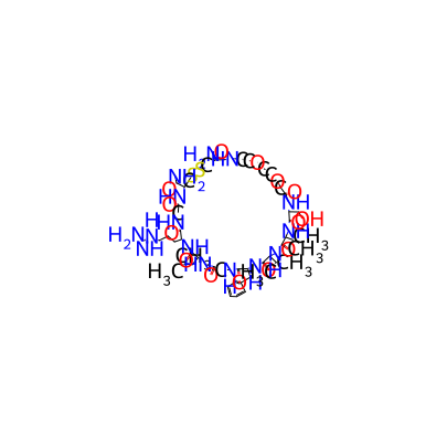 CC(C)CC1NC(=O)CNC(=O)C(Cc2ccccc2)NC(=O)C(C(C)C)NC(=O)C(C(C)C)NC(=O)C(CO)NC(=O)COCCOCCNC(=O)C(N)CSSCC(C(N)=O)NC(=O)CNC(=O)C(CCCNC(=N)N)NC1=O